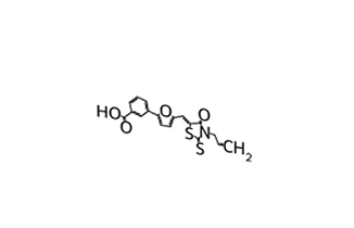 C=CCN1C(=O)C(=Cc2ccc(-c3cccc(C(=O)O)c3)o2)SC1=S